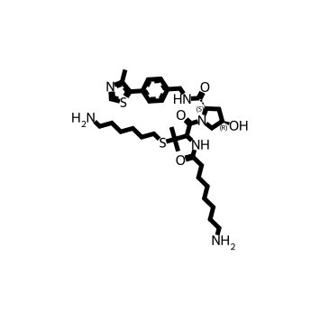 Cc1ncsc1-c1ccc(CNC(=O)[C@@H]2C[C@@H](O)CN2C(=O)C(NC(=O)CCCCCCCN)C(C)(C)SCCCCCCN)cc1